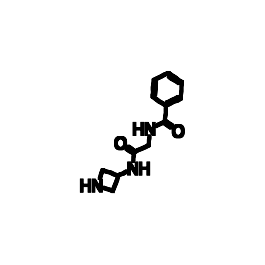 O=C(CNC(=O)c1ccccc1)NC1CNC1